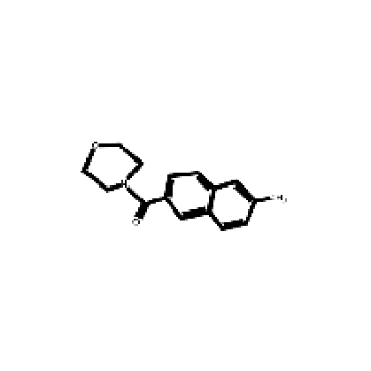 Cc1ccc2cc(C(=O)N3CCOCC3)ccc2c1